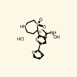 Cl.O=C(C[C@]1(c2ccc(-c3ccco3)s2)CCNCCS1(=O)=O)NO